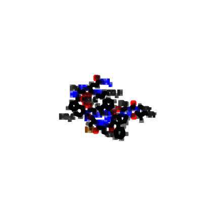 CC[C@@H](C)[C@H](NC(=O)N(CC(C)C)C(=O)[C@H](C)CC(C)C)C(=O)N1CCC[C@H]1C(=O)N[C@@H](Cc1ccccc1)C(=O)N[C@@H](CC(=O)O)C(=O)N[C@@H](CS)C(=O)N[C@@H](Cc1c[nH]c2ccccc12)C(=O)N[C@@H](CCC(=O)O)C(=O)C1CCC[C@H]1C(=O)N[C@H](C(=O)N[C@@H](CCC(N)=O)C(=O)N[C@@H](CCC(=O)O)C(=O)O)C(C)C